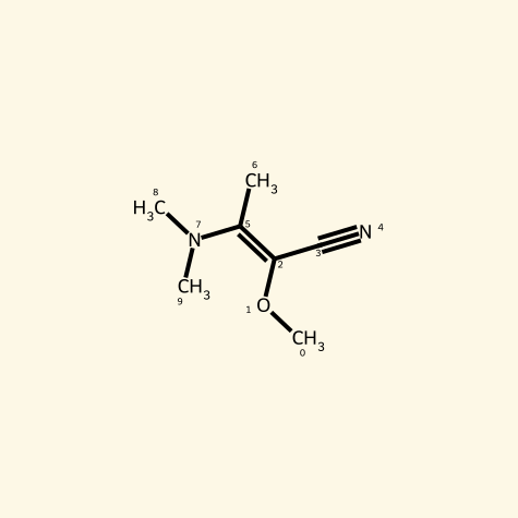 COC(C#N)=C(C)N(C)C